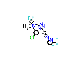 CC1(N2Cc3cc(Cl)ccc3-n3c(nnc3C3CC4(C3)CN(c3ccc(F)c(C(F)F)n3)C4)C2)CC(F)(F)C1